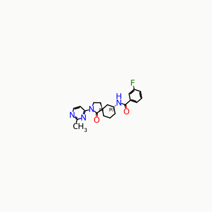 Cc1nccc(N2CC[C@@]3(CCC[C@@H](NC(=O)c4cccc(F)c4)C3)C2=O)n1